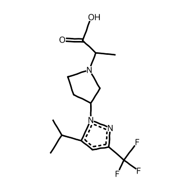 CC(C)c1cc(C(F)(F)F)nn1C1CCN(C(C)C(=O)O)C1